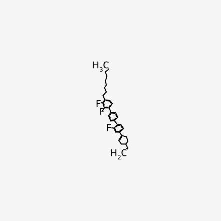 C=CC1CC=C(c2ccc(-c3ccc(-c4ccc(CCCCCCCCC)c(F)c4F)cc3)c(F)c2)CC1